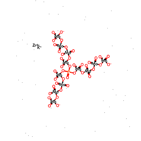 O=P([O][Mo](=[O])(=[O])[O][Mo](=[O])(=[O])[O][Mo](=[O])(=[O])[O][Mo](=[O])(=[O])[O-])([O][Mo](=[O])(=[O])[O][Mo](=[O])(=[O])[O][Mo](=[O])(=[O])[O][Mo](=[O])(=[O])[O-])[O][Mo](=[O])(=[O])[O][Mo](=[O])(=[O])[O][Mo](=[O])(=[O])[O][Mo](=[O])(=[O])[O-].[K+].[Zr+4]